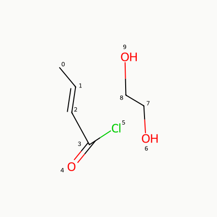 CC=CC(=O)Cl.OCCO